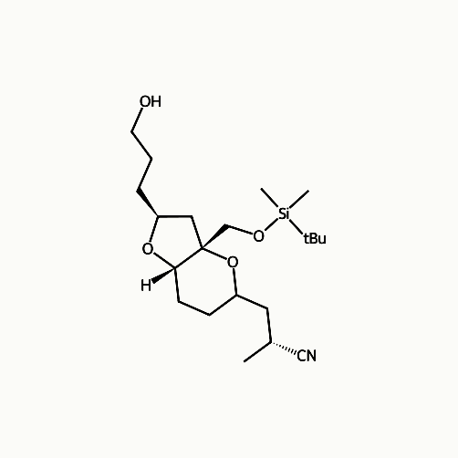 C[C@@H](C#N)CC1CC[C@@H]2O[C@@H](CCCO)C[C@]2(CO[Si](C)(C)C(C)(C)C)O1